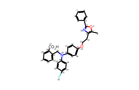 Cc1oc(-c2ccccc2)nc1CCOc1ccc(N(Cc2ccccc2C(=O)O)c2ccc(F)cc2)cc1